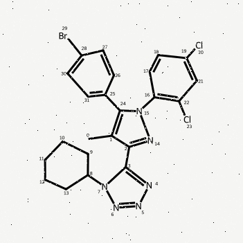 Cc1c(-c2nnnn2C2CCCCC2)nn(-c2ccc(Cl)cc2Cl)c1-c1ccc(Br)cc1